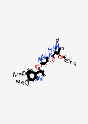 COc1cc2nccc(Oc3ccc(NC(=O)c4nn(C)cc4OCC(F)(F)F)nn3)c2cc1OC